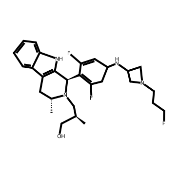 C[C@@H](CO)CN1[C@H](C)Cc2c([nH]c3ccccc23)[C@H]1C1=C(F)CC(NC2CN(CCCF)C2)C=C1F